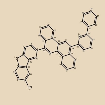 N#Cc1ccc2sc3ccc(-c4cc5c6ccccc6c(-c6cccc(-c7ccncc7)n6)cc5c5ccccc45)cc3c2c1